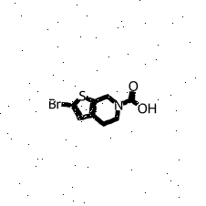 O=C(O)N1CCc2cc(Br)sc2C1